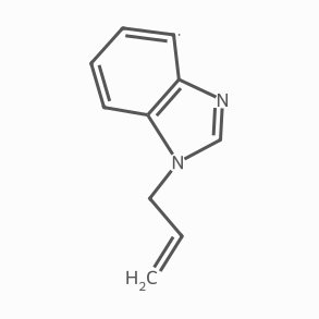 C=CCn1cnc2[c]cccc21